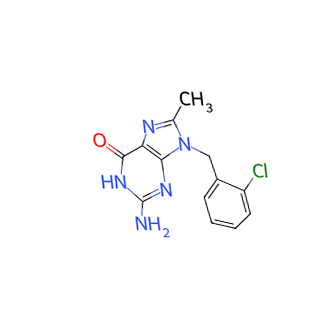 Cc1nc2c(=O)[nH]c(N)nc2n1Cc1ccccc1Cl